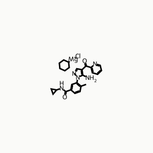 Cc1ccc(C(=O)NC2CC2)cc1-n1ncc(C(=O)c2ccccn2)c1N.[Cl][Mg][CH]1CCCCC1